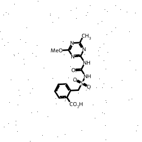 COc1nc(C)nc(NC(=O)NS(=O)(=O)Cc2ccccc2C(=O)O)n1